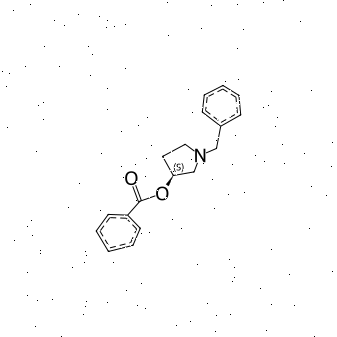 O=C(O[C@H]1CCN(Cc2ccccc2)C1)c1ccccc1